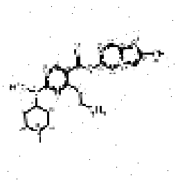 CCOc1nc(N(C)C2CCNCC2)ncc1C(=O)Nc1cn2cc(C)nc2cn1